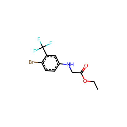 CCOC(=O)CNc1ccc(Br)c(C(F)(F)F)c1